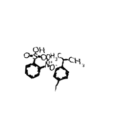 CC(C)c1ccc(I)cc1.O=[N+]([O-])c1ccccc1S(=O)(=O)O